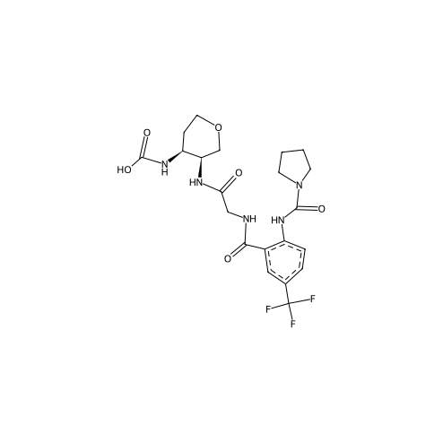 O=C(O)N[C@H]1CCOC[C@H]1NC(=O)CNC(=O)c1cc(C(F)(F)F)ccc1NC(=O)N1CCCC1